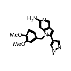 COc1ccc(Cn2c(-c3cnn(C)c3)cc3cnc(N)cc32)cc1OC